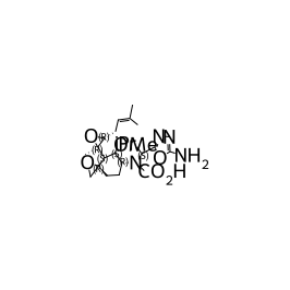 CO[C@@H]1[C@H](N(C(=O)O)[C@H](c2nnc(N)o2)C(C)C)CC[C@]2(CO2)[C@H]1[C@@]1(C)O[C@@H]1CC=C(C)C